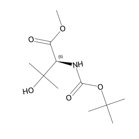 COC(=O)[C@@H](NC(=O)OC(C)(C)C)C(C)(C)O